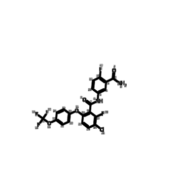 NC(=O)c1cc(NC(=O)c2c(Oc3ccc(OC(F)(F)F)cc3)ccc(Cl)c2F)ccc1F